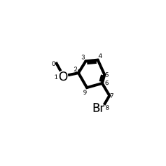 CO[C]1C=CC=C(CBr)C1